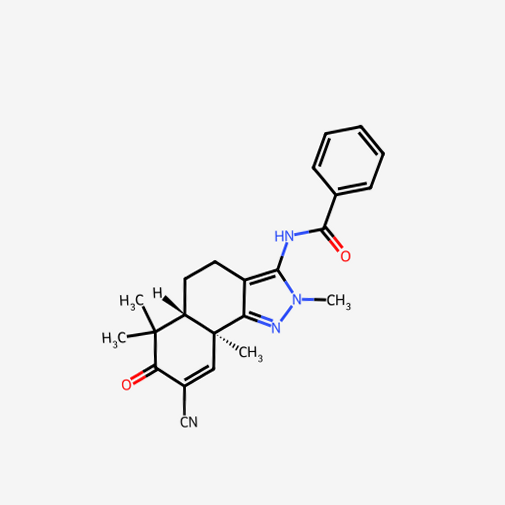 Cn1nc2c(c1NC(=O)c1ccccc1)CC[C@H]1C(C)(C)C(=O)C(C#N)=C[C@]21C